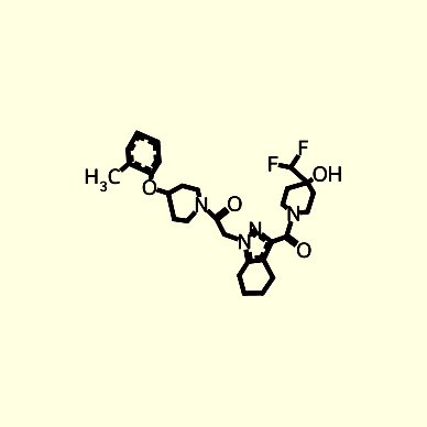 Cc1ccccc1OC1CCN(C(=O)Cn2nc(C(=O)N3CCC(O)(C(F)F)CC3)c3c2CCCC3)CC1